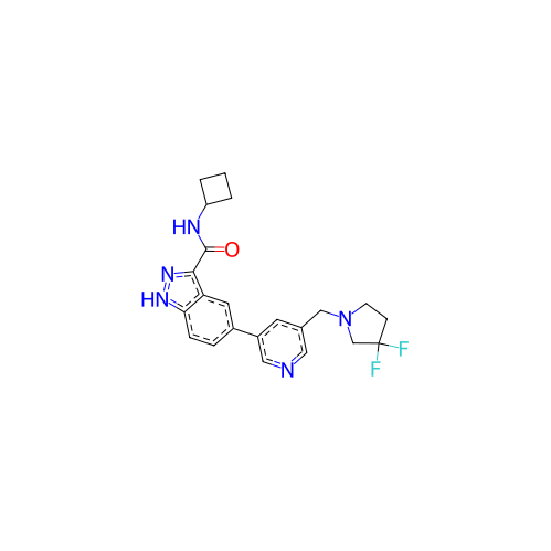 O=C(NC1CCC1)c1n[nH]c2ccc(-c3cncc(CN4CCC(F)(F)C4)c3)cc12